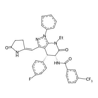 CCN1C(=O)[C@H](NC(=O)c2cccc(C(F)(F)F)c2)[C@H](c2ccc(F)cc2)c2c(/C=C3\CCC(=O)N3)nn(-c3ccccc3)c21